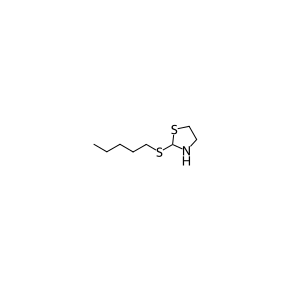 CCCCCSC1NCCS1